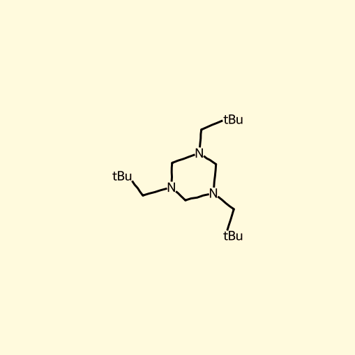 CC(C)(C)CN1CN(CC(C)(C)C)CN(CC(C)(C)C)C1